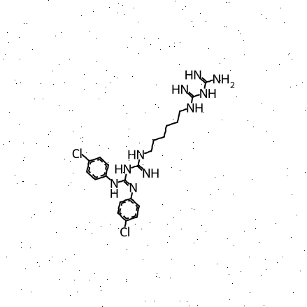 N=C(N)NC(=N)NCCCCCCNC(=N)N/C(=N/c1ccc(Cl)cc1)Nc1ccc(Cl)cc1